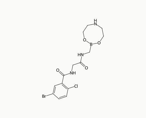 O=C(CNC(=O)c1cc(Br)ccc1Cl)NCB1OCCNCCO1